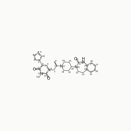 C=C(Cn1cc(-c2ccsc2)c(=O)n(C)c1=O)N1CCC(N2CCc3ccccc3NC2=O)CC1